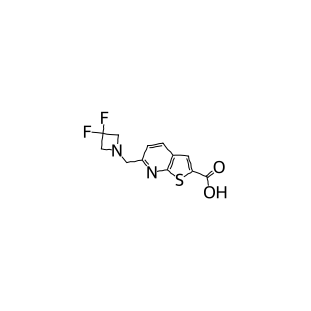 O=C(O)c1cc2ccc(CN3CC(F)(F)C3)nc2s1